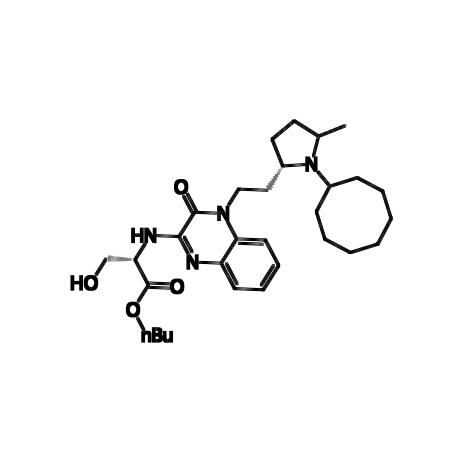 CCCCOC(=O)[C@H](CO)Nc1nc2ccccc2n(CC[C@@H]2CCC(C)N2C2CCCCCCC2)c1=O